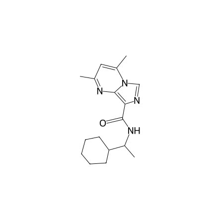 Cc1cc(C)n2cnc(C(=O)NC(C)C3CCCCC3)c2n1